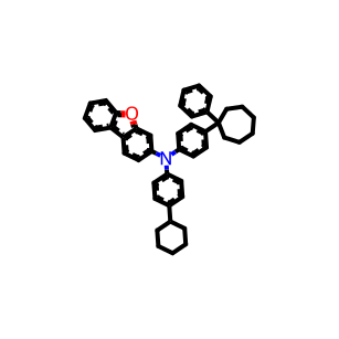 c1ccc(C2(c3ccc(N(c4ccc(C5CCCCC5)cc4)c4ccc5c(c4)oc4ccccc45)cc3)CCCCCC2)cc1